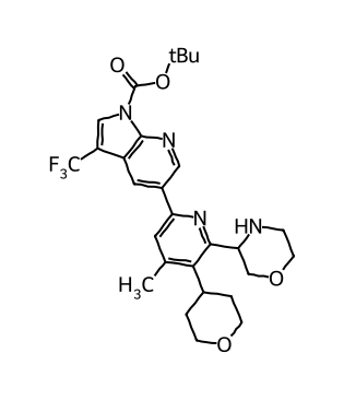 Cc1cc(-c2cnc3c(c2)c(C(F)(F)F)cn3C(=O)OC(C)(C)C)nc(C2COCCN2)c1C1CCOCC1